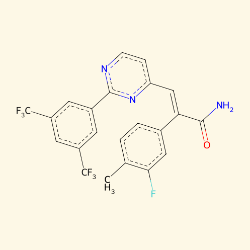 Cc1ccc(/C(=C\c2ccnc(-c3cc(C(F)(F)F)cc(C(F)(F)F)c3)n2)C(N)=O)cc1F